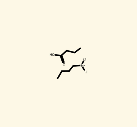 CCCC(=O)O.CCC[CH2][Sn]([Cl])[Cl]